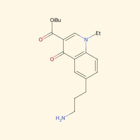 CCn1cc(C(=O)OCC(C)C)c(=O)c2cc(CCCN)ccc21